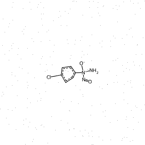 N[N+]([O-])(N=O)c1ccc(Cl)cc1